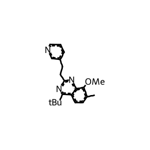 COc1c(C)ccc2c(C(C)(C)C)nc(CCc3cccnc3)nc12